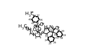 COCC[N+]1CCN(C2CCC(C(C(N)=O)(c3ccccc3)c3ccccc3)C2)C1(C)OS(=O)(=O)c1ccc(C)cc1